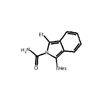 CCCCCCc1c2ccccc2c(CC)n1C(N)=O